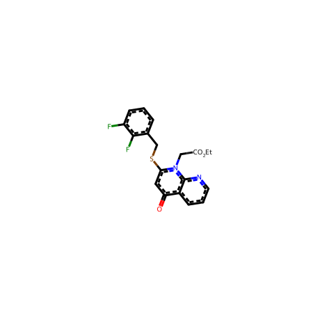 CCOC(=O)Cn1c(SCc2cccc(F)c2F)cc(=O)c2cccnc21